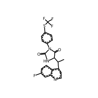 CC(c1ccnc2cc(F)ccc12)C1NC(=O)N(c2ccc(SC(F)(F)F)cc2)C1=O